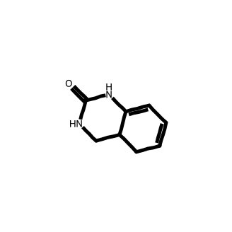 O=C1NCC2CC=CC=C2N1